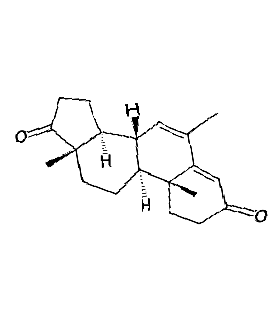 CC1=C[C@@H]2[C@H](CC[C@]3(C)C(=O)CC[C@@H]23)[C@@]2(C)CCC(=O)C=C12